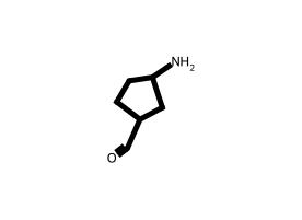 NC1CCC([C]=O)C1